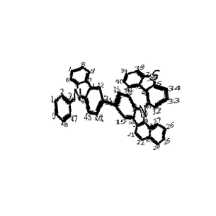 c1ccc(-n2c3ccccc3c3cc(-c4ccc5c(c4)c4ccc6ccccc6c4n5-c4cccc5sc6ccccc6c45)ccc32)cc1